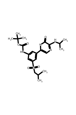 CC(C)CS(=O)(=O)c1cc(NC(=O)OC(C)(C)C)cc(C2=CN=C(NC(C)C)C(=O)[N]2)c1